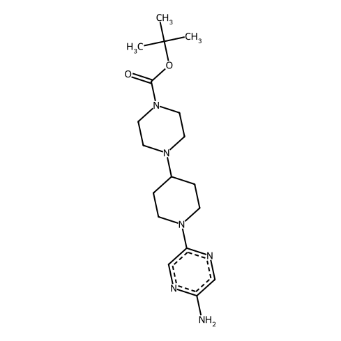 CC(C)(C)OC(=O)N1CCN(C2CCN(c3cnc(N)cn3)CC2)CC1